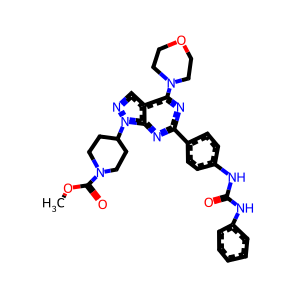 COC(=O)N1CCC(n2ncc3c(N4CCOCC4)nc(-c4ccc(NC(=O)Nc5ccccc5)cc4)nc32)CC1